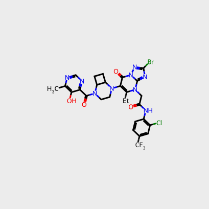 CCc1c(N2CCN(C(=O)c3ncnc(C)c3O)C3CCC32)c(=O)n2nc(Br)nc2n1CC(=O)Nc1ccc(C(F)(F)F)cc1Cl